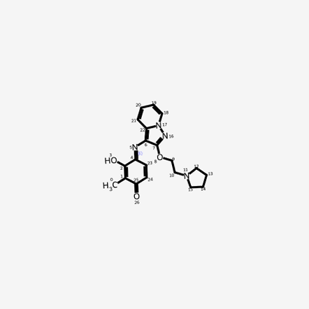 CC1=C(O)/C(=N/c2c(OCCN3CCCC3)nn3ccccc23)C=CC1=O